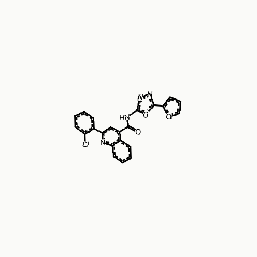 O=C(Nc1nnc(-c2ccco2)o1)c1cc(-c2ccccc2Cl)nc2ccccc12